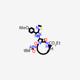 CCOC(=O)[C@@]12C[C@H]1/C=C\CCCCC[C@H](NC(=O)OC(C)(C)C)C(=O)N1CC(n3nc(-c4ccc(OC)cc4)c(-c4nccs4)n3)C[C@H]1C(=O)N2